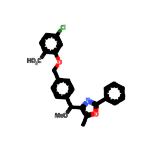 COC(c1ccc(COc2cc(Cl)ccc2C(=O)O)cc1)c1nc(-c2ccccc2)oc1C